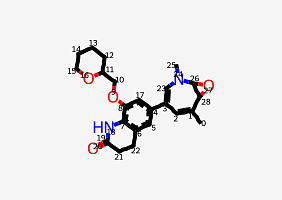 CC1=CC(c2cc3c(c(OCC4CCCCO4)c2)NC(=O)CC3)=CN(C)C2OC12